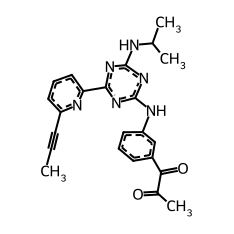 CC#Cc1cccc(-c2nc(Nc3cccc(C(=O)C(C)=O)c3)nc(NC(C)C)n2)n1